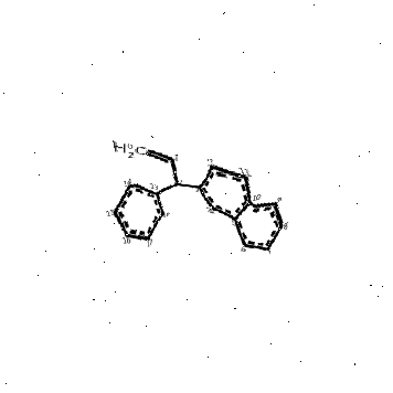 C=CC(c1[c]c2ccccc2cc1)c1ccccc1